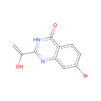 C=C(O)c1nc2cc(Br)ccc2c(=O)[nH]1